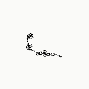 C=C(C)C(=O)OC(C)(C)CCCCCC(=O)OC(C)(C)CCCCCCOc1ccc(C(=O)Oc2ccc(C3CCC(CCCCC)CC3)cc2)cc1